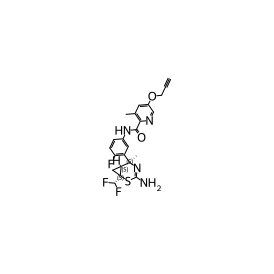 C#CCOc1cnc(C(=O)Nc2ccc(F)c([C@@]3(C)N=C(N)S[C@@]4(C(F)F)C[C@@H]34)c2)c(C)c1